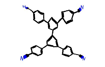 N#Cc1ccc(-c2cc(-c3ccc(C#N)cc3)cc(-c3cc(-c4ccc(C#N)cc4)cc(-c4ccc(C#N)cc4)c3)c2)cc1